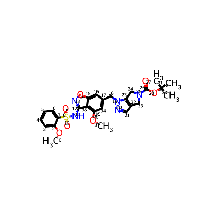 COc1ccccc1S(=O)(=O)Nc1noc2cc(Cn3ncc4c3CN(C(=O)OC(C)(C)C)C4)cc(OC)c12